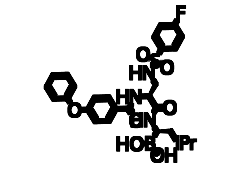 CC(C)C[C@H](NC(=O)[C@H](CNS(=O)(=O)c1ccc(F)cc1)NC(=O)c1ccc(Oc2ccccc2)cc1)B(O)O